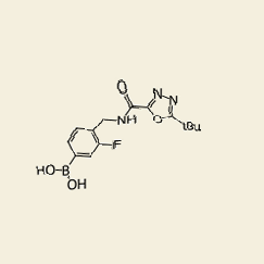 CC(C)(C)c1nnc(C(=O)NCc2ccc(B(O)O)cc2F)o1